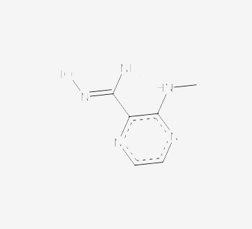 CNc1nccnc1/C(N)=N/O